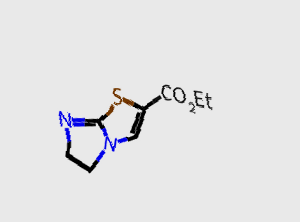 CCOC(=O)C1=CN2CCN=C2S1